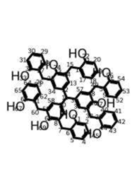 Oc1ccccc1Cc1cc(C(c2cc(Cc3ccccc3O)c(O)c(Cc3ccccc3O)c2)c2cc(Cc3ccccc3O)c(O)c(Cc3ccccc3O)c2)cc(Cc2ccccc2O)c1O